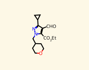 CCOC(=O)c1c(C=O)c(C2CC2)nn1CC1CCOCC1